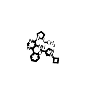 CC[C@H]1CCCN1c1ncnc(-c2ccccc2)c1NC(=O)c1cnn(C2CCC2)c1